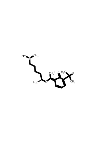 C=c1c(C(C)(C)F)ccc/c1=C(/C)S[C@@H](C)CCCCN(C)CCC